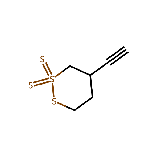 C#CC1CCSS(=S)(=S)C1